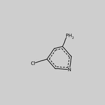 Pc1cncc(Cl)c1